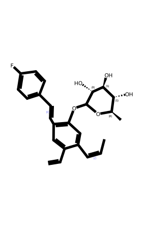 C=Cc1cc(/C=C/c2ccc(F)cc2)c(OC2O[C@H](C)[C@@H](O)[C@H](O)[C@H]2O)cc1/C=C\C